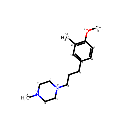 COc1ccc(CCCN2CCN(C)CC2)cc1C